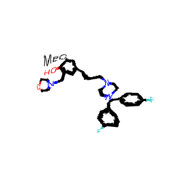 COc1cc(C=CCN2CCN(C(c3ccc(F)cc3)c3ccc(F)cc3)CC2)cc(CN2CCOCC2)c1O